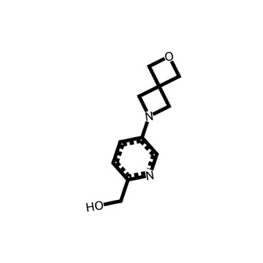 OCc1ccc(N2CC3(COC3)C2)cn1